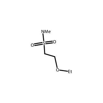 CCOCCS(=O)(=O)NC